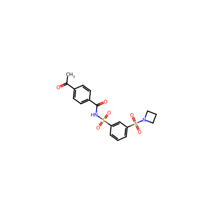 CC(=O)c1ccc(C(=O)NS(=O)(=O)c2cccc(S(=O)(=O)N3CCC3)c2)cc1